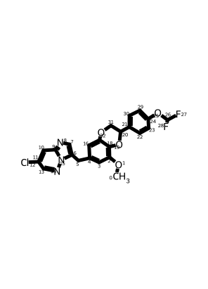 COc1cc(Cc2cnc3cc(Cl)cnn23)cc2c1OC(c1ccc(OC(F)F)cc1)CO2